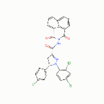 O=C(NN1C(=O)c2cccc3cccc(c23)C1=O)C1=NN(c2ccc(Cl)cc2Cl)C(c2ccc(Cl)cc2)C1